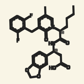 CCCC[C@@H](C(=O)N[C@@H](CC(=O)O)c1ccc2c(c1)OCO2)n1cc(C)cc(Cc2c(F)cccc2F)c1=O